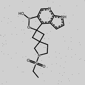 CCS(=O)(=O)N1CCC2(C1)CC1(C2)OB(O)c2cnc3[nH]ccc3c21